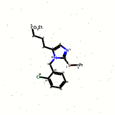 CCCSc1ncc(CCCC(=O)OCC)n1Cc1ccccc1Cl